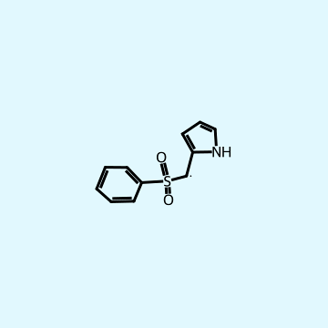 O=S(=O)([CH]c1ccc[nH]1)c1ccccc1